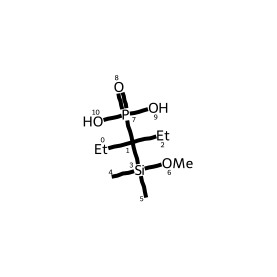 CCC(CC)([Si](C)(C)OC)P(=O)(O)O